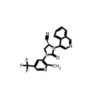 Cc1ncc(C(F)(F)F)cc1N1C[C@@H](C#N)N(c2cncc3ccccc23)C1=O